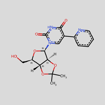 CC1(C)O[C@H]2[C@H](O1)[C@@H](CO)O[C@H]2n1cc(-c2ccccn2)c(=O)[nH]c1=O